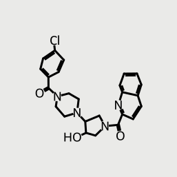 O=C(c1ccc(Cl)cc1)N1CCN(C2CN(C(=O)c3ccc4ccccc4n3)CC2O)CC1